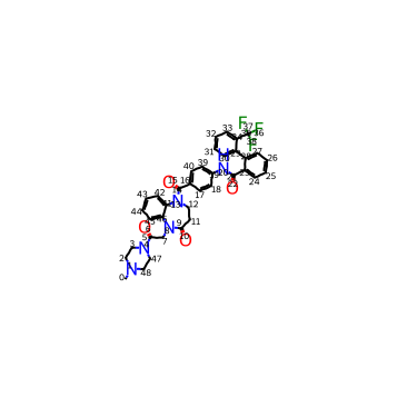 CN1CCN(C(=O)CN2C(=O)CCN(C(=O)c3ccc(NC(=O)c4ccccc4-c4ccccc4C(F)(F)F)cc3)c3ccccc32)CC1